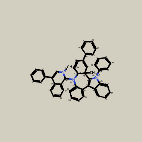 CN1C=C(c2ccccc2)c2ccccc2C1N1c2ccccc2-c2c(n(-c3ccccc3)c3ccccc23)C2(C)C=C(c3ccccc3)C=CC12